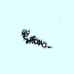 C#C[C@H]1CC[C@H](n2cc3cc(NC(=O)/C(I)=C/C=C\C(=N\O)OC)c(OC)cc3n2)CC1